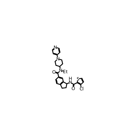 CCN(C(=O)c1ccc2c(c1)C(NC(=O)c1sccc1Cl)CC2)C1CCN(c2ccncc2)CC1